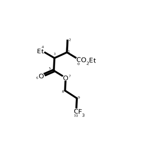 CCOC(=O)C(C)C(CC)C(=O)OCCC(F)(F)F